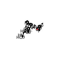 CCOc1ccc(C(=O)N2CCN(c3ccc(-c4cccnc4OCC)nc3Cc3ccc(S(=O)(=O)NCCCNC(=O)O)c([N+](=O)[O-])c3)[C@H](CC)C2)c(C(F)(F)F)n1